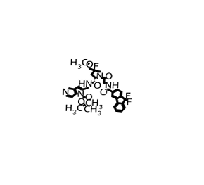 COC[C@@]1(F)C[C@@H](C(=O)NCc2cc3cnccc3n2C(=O)OC(C)(C)C)N(C(=O)CNC(=O)c2ccc3c(c2)-c2ccccc2C3(F)F)C1